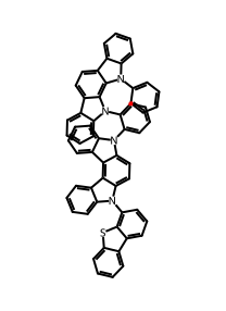 c1ccc(-n2c3ccccc3c3ccc4c5ccccc5n(-c5ccccc5-n5c6ccccc6c6c7c8ccccc8n(-c8cccc9c8sc8ccccc89)c7ccc65)c4c32)cc1